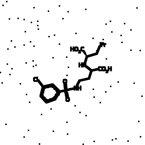 CC(C)C[C@H](NC(CCNS(=O)(=O)c1cccc(Cl)c1)C(=O)O)C(=O)O